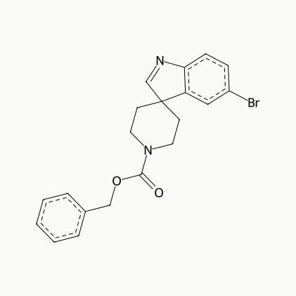 O=C(OCc1ccccc1)N1CCC2(C=Nc3ccc(Br)cc32)CC1